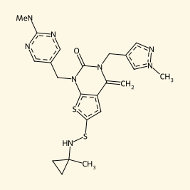 C=C1c2cc(SNC3(C)CC3)sc2N(Cc2cnc(NC)nc2)C(=O)N1Cc1cnn(C)c1